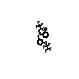 OC(CN(Cc1cccc(OC(F)(F)C(F)F)c1)c1c[c]ccc1)C(F)(F)F